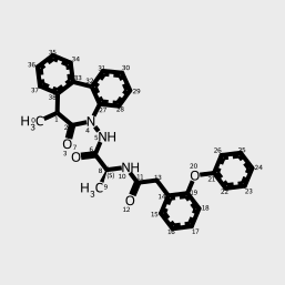 CC1C(=O)N(NC(=O)[C@H](C)NC(=O)Cc2ccccc2Oc2ccccc2)c2ccccc2-c2ccccc21